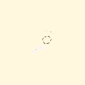 CC(C)[N+]([O-])=NNc1ccc(C(Br)(Br)Br)cc1